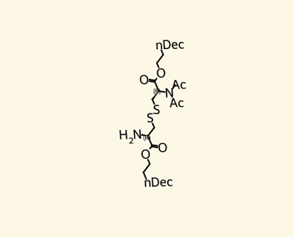 CCCCCCCCCCCCOC(=O)[C@@H](N)CSSC[C@@H](C(=O)OCCCCCCCCCCCC)N(C(C)=O)C(C)=O